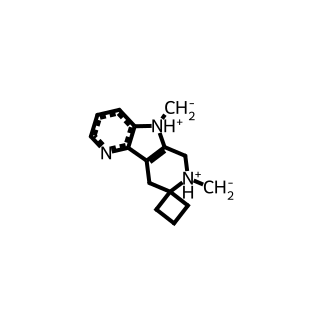 [CH2-][NH+]1C2=C(CC3(CCC3)[NH+]([CH2-])C2)c2ncccc21